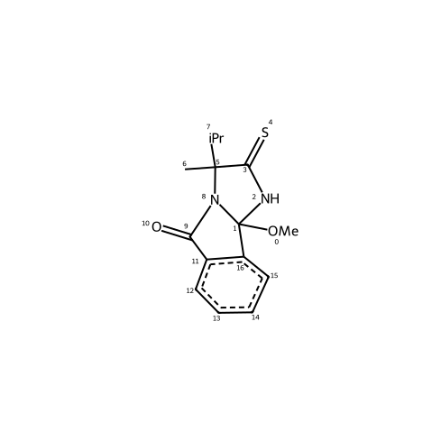 COC12NC(=S)C(C)(C(C)C)N1C(=O)c1ccccc12